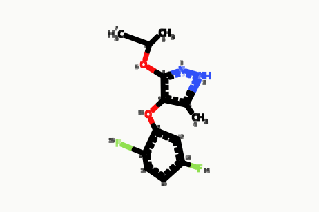 Cc1[nH]nc(OC(C)C)c1Oc1cc(F)ccc1F